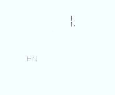 [C]1NCCc2cc[nH]c21